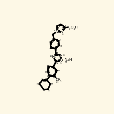 O=C(O)c1ccn(Cc2ccc(-c3noc(-c4ccc(C5=CCCCC5)c(C(F)(F)F)c4)n3)cc2)n1.[NaH]